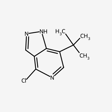 CC(C)(C)c1cnc(Cl)c2cn[nH]c12